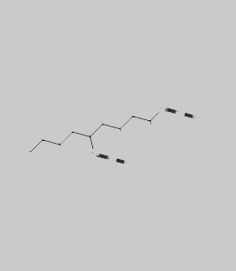 CCCCC(CCCCN=C=O)N=C=O